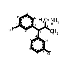 CC(C)C(c1cccc(F)c1)c1cccc(F)c1.N